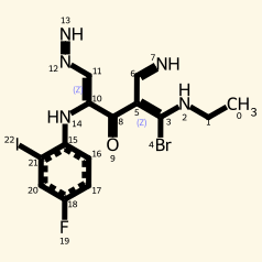 CCN/C(Br)=C(\C=N)C(=O)/C(=C/N=N)Nc1ccc(F)cc1I